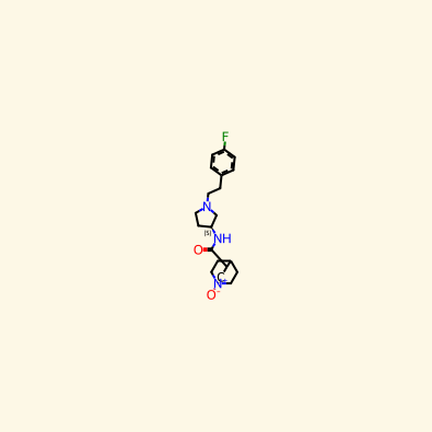 O=C(N[C@H]1CCN(CCc2ccc(F)cc2)C1)C1C[N+]2([O-])CCC1CC2